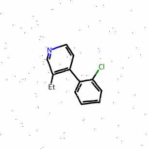 CCc1[c]nccc1-c1ccccc1Cl